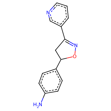 Nc1ccc(C2CC(c3cccnc3)=NO2)cc1